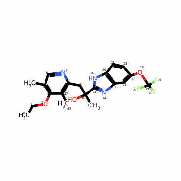 CCOc1c(C)cnc(CC(C)(O)c2nc3cc(OC(F)(F)F)ccc3[nH]2)c1C